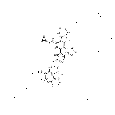 CN(c1nc(CC(=O)NC(C(=O)N2CCCC2)c2nc(NCC3CC3)c3c4c(sc3n2)CCCC4)nc2sc3c(c12)CCCC3)C1CC1